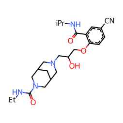 CCNC(=O)N1CC2CC(CN(CC(O)COc3ccc(C#N)cc3C(=O)NC(C)C)C2)C1